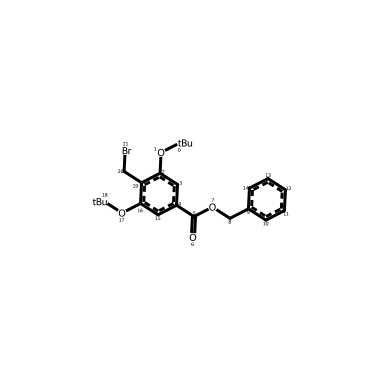 CC(C)(C)Oc1cc(C(=O)OCc2ccccc2)cc(OC(C)(C)C)c1CBr